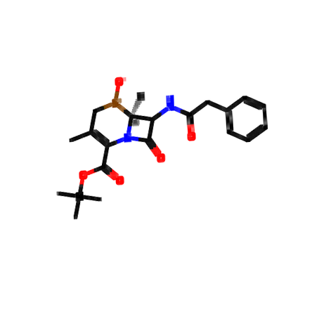 CC1=C(C(=O)O[Si](C)(C)C)N2C(=O)C(NC(=O)Cc3ccccc3)[C@@H]2[S+]([O-])C1